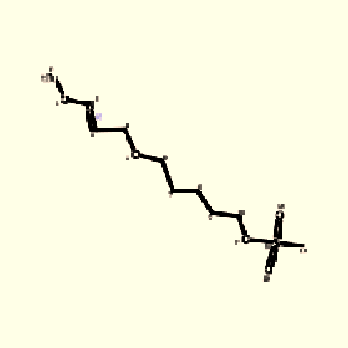 CC(C)(C)O/N=C/COCCCCCOS(C)(=O)=O